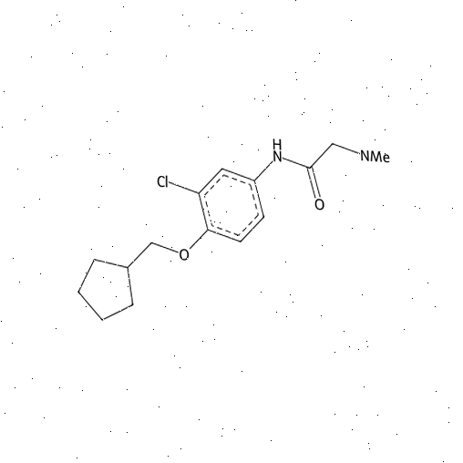 CNCC(=O)Nc1ccc(OCC2CCCC2)c(Cl)c1